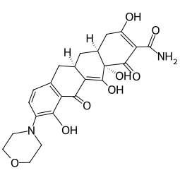 NC(=O)C1=C(O)C[C@@H]2C[C@@H]3Cc4ccc(N5CCOCC5)c(O)c4C(=O)C3=C(O)[C@]2(O)C1=O